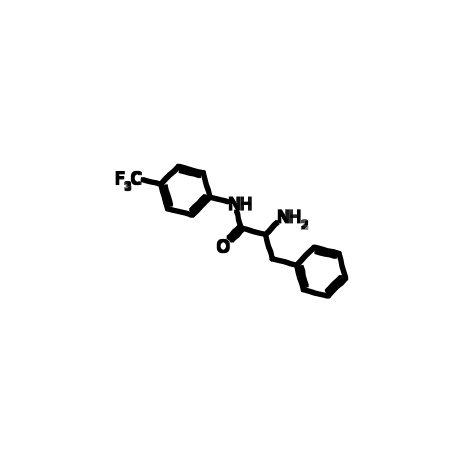 NC(Cc1ccccc1)C(=O)Nc1ccc(C(F)(F)F)cc1